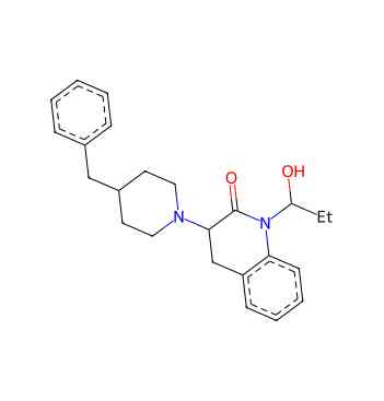 CCC(O)N1C(=O)C(N2CCC(Cc3ccccc3)CC2)Cc2ccccc21